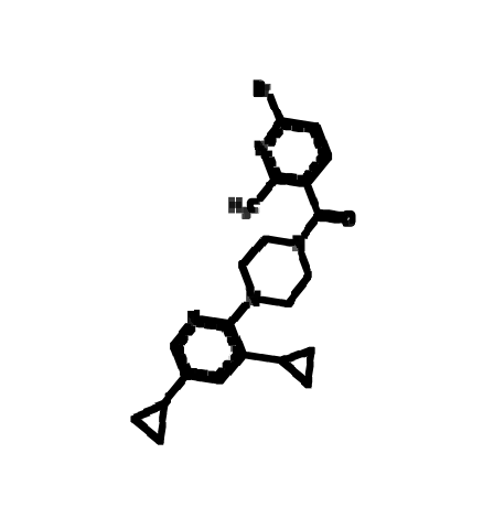 Cc1nc(Br)ccc1C(=O)N1CCN(c2ncc(C3CC3)cc2C2CC2)CC1